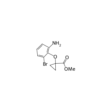 COC(=O)C1(Oc2c(N)cccc2Br)CC1